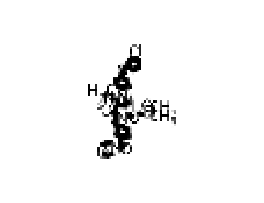 Cc1cc(Oc2cccc(Cl)c2)ccc1-n1ncc(C(=O)c2cc3cc(C(=O)N4CCOCC4)ccc3n2COCC[Si](C)(C)C)c1N